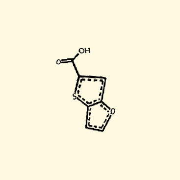 O=C(O)c1cc2occc2s1